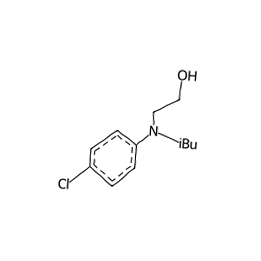 CCC(C)N(CCO)c1ccc(Cl)cc1